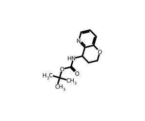 CC(C)(C)OC(=O)NC1CCOc2cccnc21